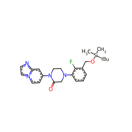 CC(C)(C)[Si](C)(C)OCc1cccc(N2CCN(c3ccn4ccnc4c3)C(=O)C2)c1F